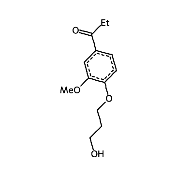 CCC(=O)c1ccc(OCCCO)c(OC)c1